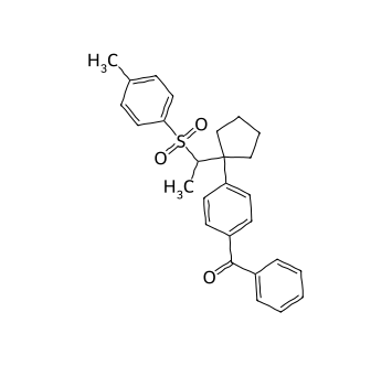 Cc1ccc(S(=O)(=O)C(C)C2(c3ccc(C(=O)c4ccccc4)cc3)CCCC2)cc1